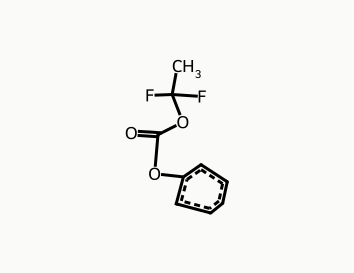 CC(F)(F)OC(=O)Oc1ccccc1